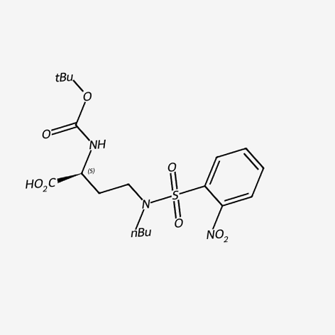 CCCCN(CC[C@H](NC(=O)OC(C)(C)C)C(=O)O)S(=O)(=O)c1ccccc1[N+](=O)[O-]